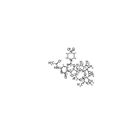 CC(=O)Nc1ccn([C@@H]2O[C@@H]3CO[Si](C(C)C)(C(C)C)O[Si](C(C)C)(C(C)C)OC3(C)C2OC(=S)N2CCS(=O)(=O)CC2)c(=O)n1